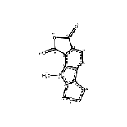 Cn1c2ccccc2c2ccc3c(c21)C(=O)OC3=O